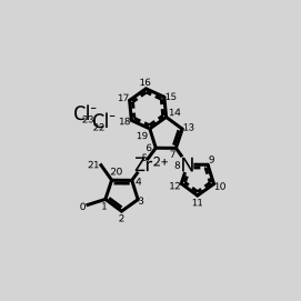 CC1=CC[C]([Zr+2][CH]2C(n3cccc3)=Cc3ccccc32)=C1C.[Cl-].[Cl-]